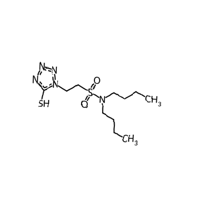 CCCCN(CCCC)S(=O)(=O)CCn1nnnc1S